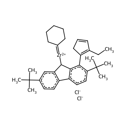 CCC1=C(c2c(C(C)(C)C)ccc3c2[CH]([Zr+2]=[C]2CCCCC2)c2cc(C(C)(C)C)ccc2-3)CC=C1.[Cl-].[Cl-]